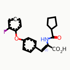 O=C(O)/C(=C/c1ccc(Oc2ccccc2I)cc1)NC(=O)C1CCCC1